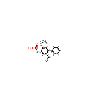 COc1cc(-c2ccccc2)c(C=O)cc1CC(=O)O